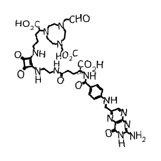 Nc1nc2ncc(CNc3ccc(C(=O)N[C@@H](CCC(=O)NCCNc4c(NCCCC(C(=O)O)N5CCN(CC=O)CCN(CC(=O)O)CC5)c(=O)c4=O)C(=O)O)cc3)nc2c(=O)[nH]1